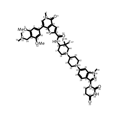 COc1cc(-c2cn(C)c(=O)c3cc(C(=O)NC4CCN(C5CCN(c6ccc7c(N8CCC(=O)NC8=O)nn(C)c7c6)CC5)CC4(F)F)sc23)cc(OC)c1CN(C)C